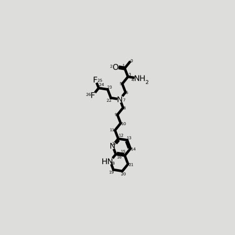 CC(=O)C(N)CCN(CCCCc1ccc2c(n1)NCCC2)CCC(F)F